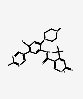 Cc1ncc(-c2cc(NC(=O)c3c[nH]c(=O)cc3C(F)(F)F)c(N3CCN(C)CC3)cc2F)cn1